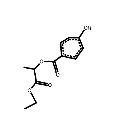 CCOC(=O)C(C)OC(=O)c1ccc(O)cc1